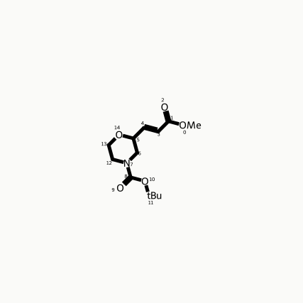 COC(=O)C=CC1CN(C(=O)OC(C)(C)C)CCO1